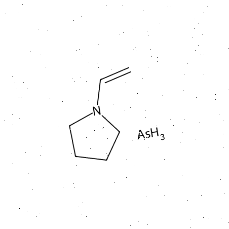 C=CN1CCCC1.[AsH3]